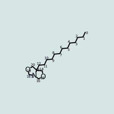 CCCCCCCCCCCCCC12COCN1COC2